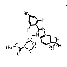 [2H]C([2H])([2H])c1ccc2c(c1)nc(-c1c(F)cc(Br)cc1F)n2C[C@H]1CN(C(=O)OC(C)(C)C)CCO1